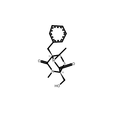 CN1C(=O)[C@]2(Cc3ccccc3)SS[C@@]1(CO)C(=O)N2C